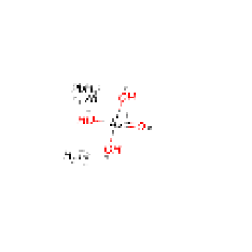 O=[As](O)(O)O.[PbH2].[TeH2].[Zn]